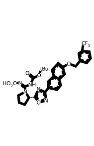 CC(C)(C)OC(=O)N/C(=N/C(=O)O)N1CCC[C@H]1c1nc(-c2ccc3cc(OCc4cccc(C(F)(F)F)c4)ccc3c2)no1